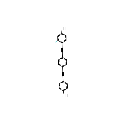 CCCCCCCc1ccc(C#Cc2ccc(C#Cc3ccc(C)cc3)cc2)c(F)c1